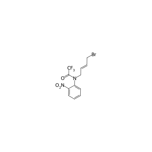 O=C(N(C/C=C/CBr)c1ccccc1[N+](=O)[O-])C(F)(F)F